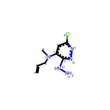 C=CCN(C)c1cc(Cl)nnc1NN